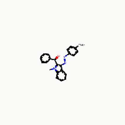 COc1ccc(/N=N/c2c(C(=O)c3ccccc3)n(C)c3ccccc23)cc1